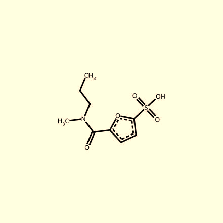 CCCN(C)C(=O)c1ccc(S(=O)(=O)O)o1